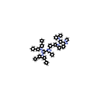 c1ccc(-c2ccc3c(c2)c2cc(-c4ccccc4)ccc2n3-c2cc(-c3cc(-c4ccccc4)nc(-c4cccc(-c5ccc6c(c5)c5ccccc5n6-c5cc(-c6c(-c7ccccc7)nc7ccccn67)cc(-n6c7ccccc7c7ccccc76)c5)c4)n3)cc(-n3c4ccc(-c5ccccc5)cc4c4cc(-c5ccccc5)ccc43)n2)cc1